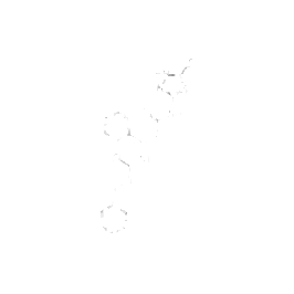 O=C(CC(NC(=O)OCc1ccccc1)c1ccccc1)Nc1n[nH]c(=S)s1